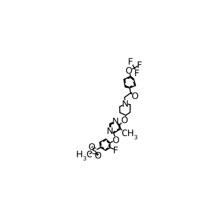 Cc1c(Oc2ccc(S(C)(=O)=O)cc2F)ncnc1OC1CCN(CC(=O)c2ccc(OC(F)(F)F)cc2)CC1